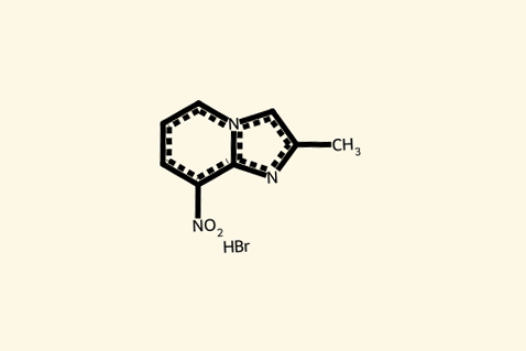 Br.Cc1cn2cccc([N+](=O)[O-])c2n1